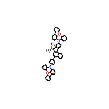 CC1(C)c2cc(N(c3ccccc3)c3cccc4c3oc3ccccc34)ccc2-c2c1cc(-c1ccc(N(c3ccccc3)c3cccc4c3oc3ccccc34)cc1)c1ccccc21